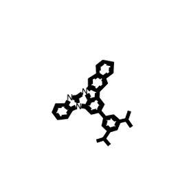 CC(C)c1cc(-c2cc3c4cc5ccccc5cc4n4c3c(c2)n2c3ccccc3nc24)cc(C(C)C)c1